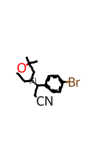 CC1(C)C[C@@H](C(CC#N)c2ccc(Br)cc2)CCO1